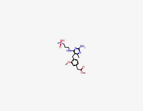 COC(=O)Cc1ccc(Cc2c(C)nc(N)nc2NCCCP(C)(=O)O)c(OC)c1